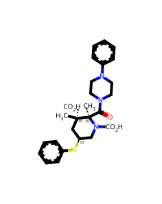 C[C@]1(C(=O)N2CCN(c3ccccc3)CC2)N(C(=O)O)C[C@@H](Sc2ccccc2)C[C@]1(C)C(=O)O